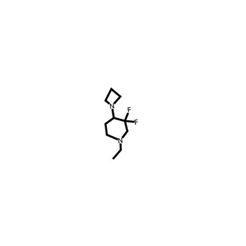 CCN1CCC(N2CCC2)C(F)(F)C1